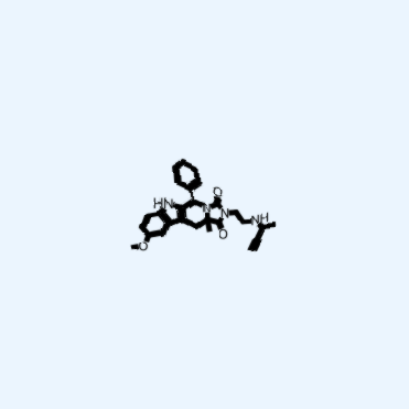 C#CC(C)NCCN1C(=O)N2[C@H](C3=CCCC=C3)c3[nH]c4ccc(OC)cc4c3CC2(C)C1=O